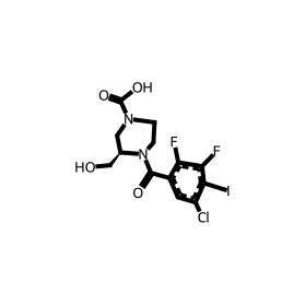 O=C(O)N1CCN(C(=O)c2cc(Cl)c(I)c(F)c2F)[C@@H](CO)C1